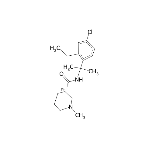 CCc1cc(Cl)ccc1C(C)(C)NC(=O)[C@H]1CCCN(C)C1